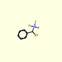 CCC(c1ccccc1)[N+](F)(F)F